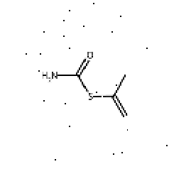 C=C(C)SC(N)=O